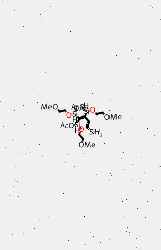 COCCO[SiH](OC(C)=O)C(C=C[SiH3])=C([SiH](OCCOC)OC(C)=O)[SiH](OCCOC)OC(C)=O